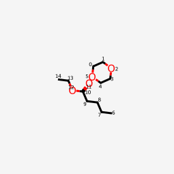 C1COCCO1.CCCCC(=O)OCC